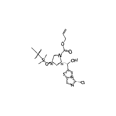 C=CCOC(=O)N1C[C@H](O[Si](C)(C)C(C)(C)C)C[C@H]1C(O)c1cn2c(Cl)ncc2s1